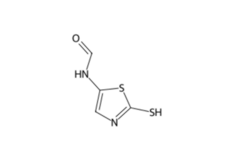 O=CNc1cnc(S)s1